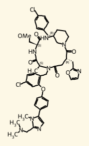 COC[C@@H]1NC(=O)[C@H](C)N(Cc2ccc(Cl)cc2Oc2ccc(-c3cnc(CN(C)C)n3C)cc2)C(=O)C[C@@H](Cc2ncco2)C(=O)N2CCC[C@@](Cc3ccc(Cl)cc3)(C2)NC1=O